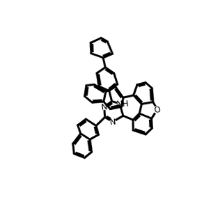 c1ccc(-c2ccc(C3=NC(c4ccc5ccccc5c4)=NC(c4cccc5oc6cccc(-c7ccc8ccccc8c7)c6c45)N3)cc2)cc1